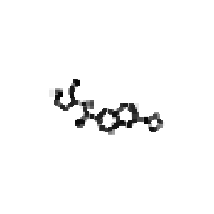 O=C(NC1CCNC1=O)c1cnc2cc(N3CCC3)ncc2c1